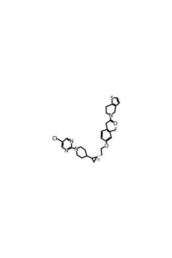 O=C(Cc1ccc(OCC[C@@H]2CC2C2CCN(c3ncc(Cl)cn3)CC2)cc1F)N1CCc2sccc2C1